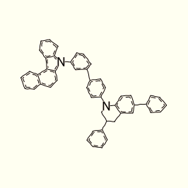 c1ccc(-c2ccc3c(c2)CC(c2ccccc2)CN3c2ccc(-c3cccc(-n4c5ccccc5c5c6ccccc6ccc54)c3)cc2)cc1